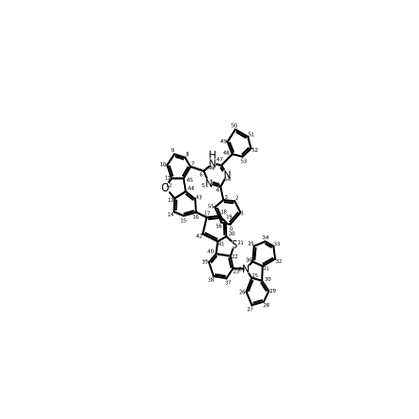 c1ccc(C2=NC(c3cccc4oc5ccc(-c6ccc7sc8c(-n9c%10ccccc%10c%10ccccc%109)cccc8c7c6)cc5c34)NC(c3ccccc3)=N2)cc1